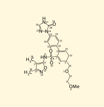 COCCOCC1C=C(S(=O)(=O)Nc2onc(C)c2C)C(c2ccc(-n3nc[nH]c3=O)cc2)=CC1